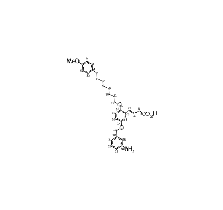 COc1ccc(CCCCCCCCOc2ccc(OCc3cccc(N)c3)nc2C=CCC(=O)O)cc1